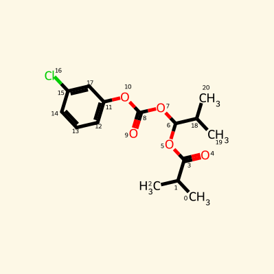 CC(C)C(=O)OC(OC(=O)Oc1cccc(Cl)c1)C(C)C